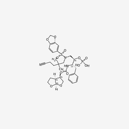 CC(C)(CCC#N)CN(C[C@@H](OP(=O)(O)O)[C@H](Cc1ccccc1)NC(=O)O[C@H]1CO[C@H]2OCC[C@H]21)S(=O)(=O)c1ccc2c(c1)OCO2